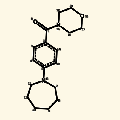 O=C(c1ccc(N2CCCCCC2)cc1)N1CCOCC1